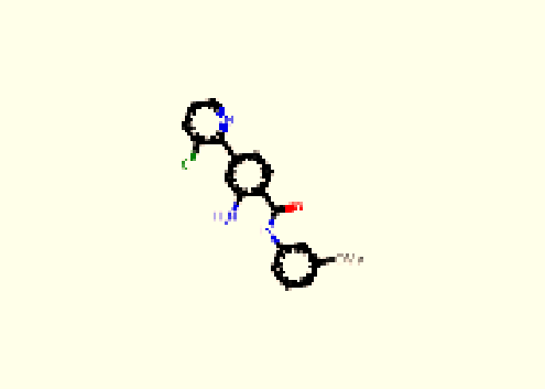 COc1cccc(NC(=O)c2ccc(-c3ncccc3Cl)cc2N)c1